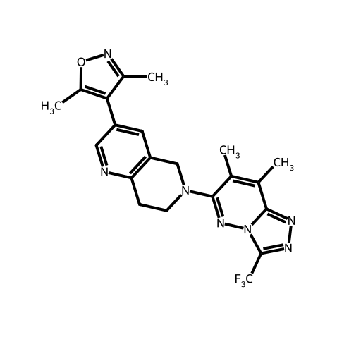 Cc1noc(C)c1-c1cnc2c(c1)CN(c1nn3c(C(F)(F)F)nnc3c(C)c1C)CC2